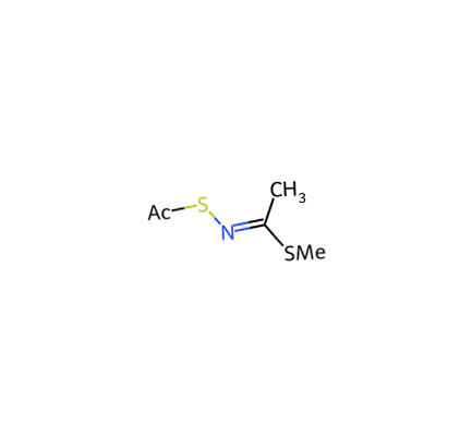 CSC(C)=NSC(C)=O